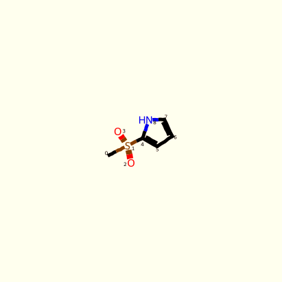 CS(=O)(=O)c1ccc[nH]1